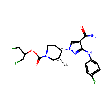 N#C[C@@H]1CN(C(=O)OC(CF)CF)CC[C@@H]1n1cc(C(N)=O)c(Nc2ccc(F)cc2)n1